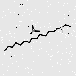 CCCCCCCCCCCCCCNCC.CN(C)C